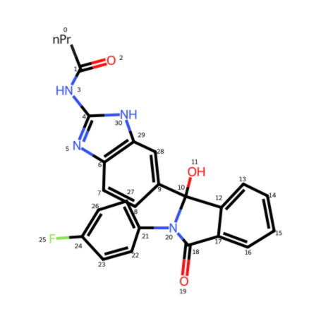 CCCC(=O)Nc1nc2ccc(C3(O)c4ccccc4C(=O)N3c3ccc(F)cc3)cc2[nH]1